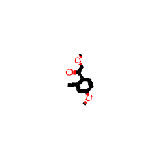 COCC(=O)c1ccc(OC)cc1C